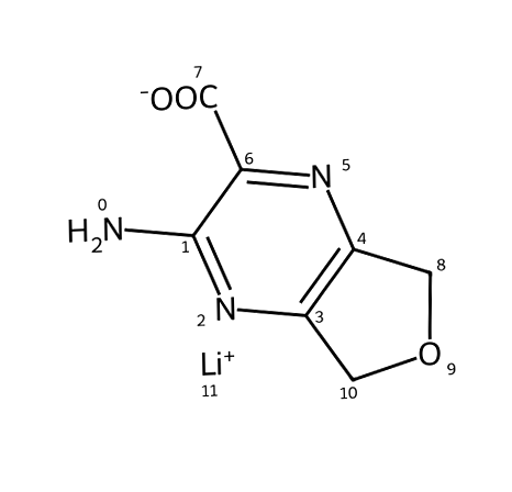 Nc1nc2c(nc1C(=O)[O-])COC2.[Li+]